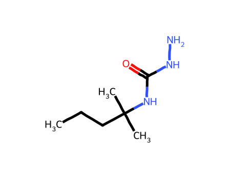 CCCC(C)(C)NC(=O)NN